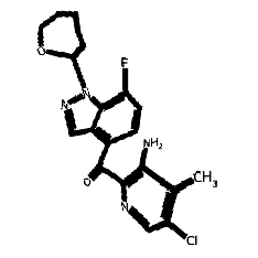 Cc1c(Cl)cnc(C(=O)c2ccc(F)c3c2cnn3C2CCCCO2)c1N